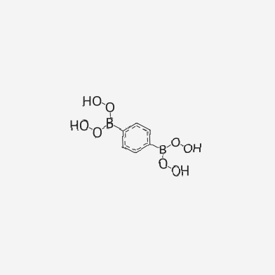 OOB(OO)c1ccc(B(OO)OO)cc1